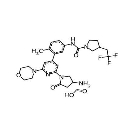 Cc1ccc(NC(=O)N2CCC(CC(F)(F)F)C2)cc1-c1cc(N2CCOCC2)nc(N2CC(N)CC2=O)c1.O=CO